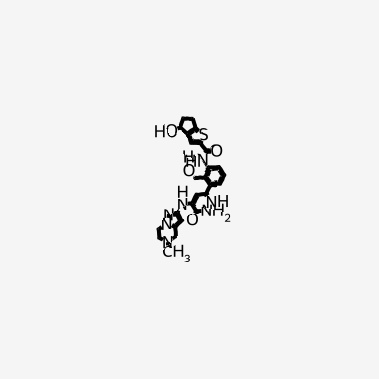 CN1CCn2nc(N/C(=C/C(=N)c3cccc(NC(=O)c4cc5c(s4)CCC5O)c3CO)C(N)=O)cc2C1